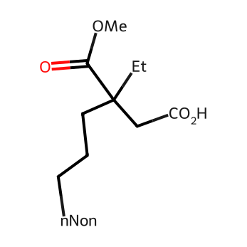 CCCCCCCCCCCCC(CC)(CC(=O)O)C(=O)OC